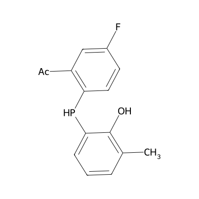 CC(=O)c1cc(F)ccc1Pc1cccc(C)c1O